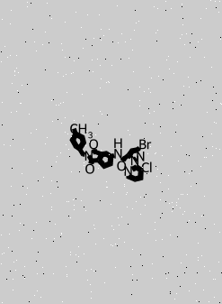 Cc1ccc(CN2C(=O)c3ccc(NC(=O)c4cc(Br)nn4-c4ncccc4Cl)cc3C2=O)cc1